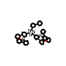 c1ccc(-c2cccc(-c3nc(-c4ccc(-c5ccccc5)c(-n5c6ccccc6c6ccccc65)c4)nc(-c4ccc(-c5cccc(-c6ccccc6)c5)c(-n5c6ccccc6c6ccccc65)c4)n3)c2)cc1